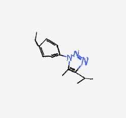 CCc1ccc(-n2nnc(C(C)C)c2C)cc1